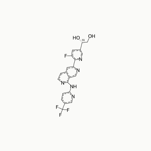 OC[C@@H](O)c1cnc(-c2cc3ccnc(Nc4ccc(C(F)(F)F)cn4)c3cn2)c(F)c1